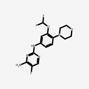 Nc1nc(Nc2ccc(N3CCOCC3)c(OC(F)F)c2)ncc1F